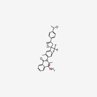 Cc1cc(C2(C(F)(F)F)CC(c3ccc([S+](C)[O-])cc3)=NO2)ccc1N(C(=O)c1ccccc1C(N)=O)C(C)C